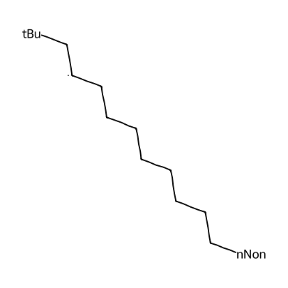 CCCCCCCCCCCCCCCCC[CH]CC(C)(C)C